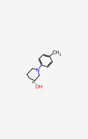 Cc1ccc(N2CCC[C@@H](O)C2)cc1